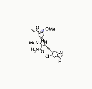 C=CC(=O)N1C[C@@H](n2nc(C#Cc3cc4nc[nH]c4cc3Cl)c(C(N)=O)c2NC)C/C1=C\OC